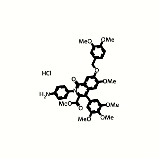 COC(=O)c1c(-c2cc(OC)c(OC)c(OC)c2)c2cc(OC)c(OCc3ccc(OC)c(OC)c3)cc2c(=O)n1-c1ccc(N)cc1.Cl